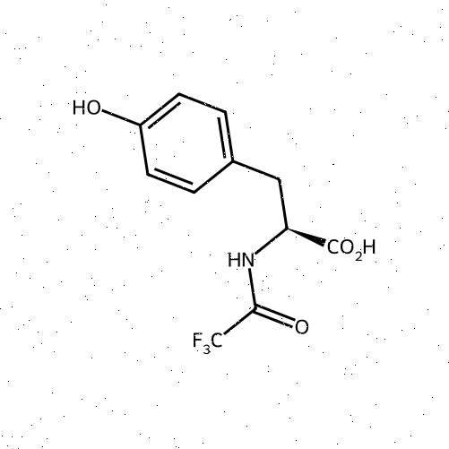 O=C(O)[C@H](Cc1ccc(O)cc1)NC(=O)C(F)(F)F